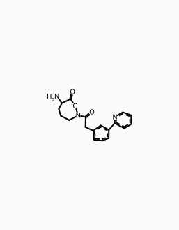 NC1CCCN(C(=O)Cc2cccc(-c3ccccn3)c2)CC1=O